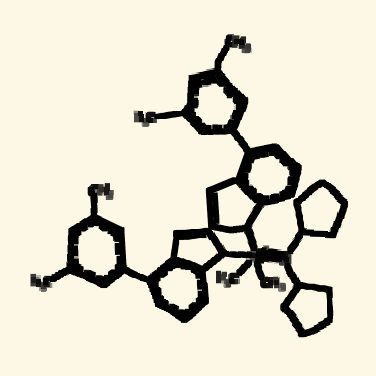 Cc1cc(C)cc(-c2cccc3c2C=C[CH]3[Hf]([CH3])([CH3])([CH]2C=Cc3c(-c4cc(C)cc(C)c4)cccc32)=[Si](C2CCCC2)C2CCCC2)c1